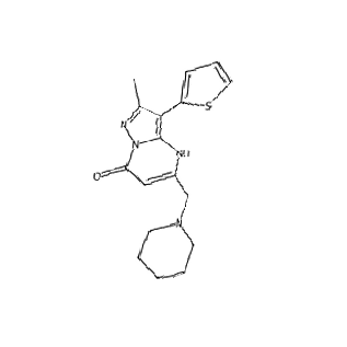 Cc1nn2c(=O)cc(CN3CCCCC3)[nH]c2c1-c1cccs1